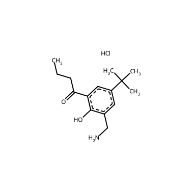 CCCC(=O)c1cc(C(C)(C)C)cc(CN)c1O.Cl